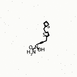 NC(=O)N(O)CC#CCc1ccc(Cc2cccs2)s1